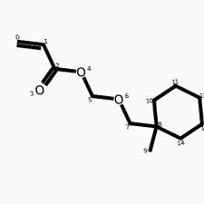 C=CC(=O)OCOCC1(C)CCCCC1